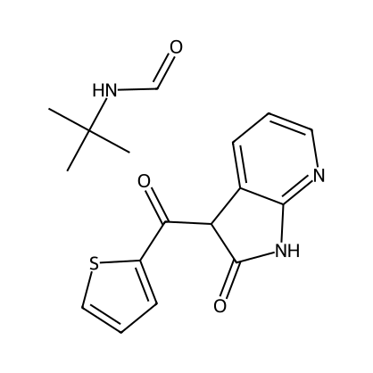 CC(C)(C)NC=O.O=C1Nc2ncccc2C1C(=O)c1cccs1